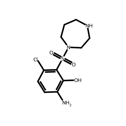 Nc1ccc(Cl)c(S(=O)(=O)N2CCCNCC2)c1O